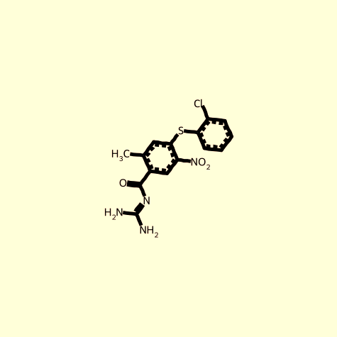 Cc1cc(Sc2ccccc2Cl)c([N+](=O)[O-])cc1C(=O)N=C(N)N